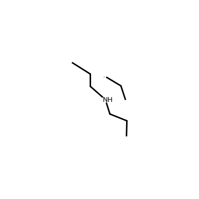 CCCNCCC.[CH2]CC